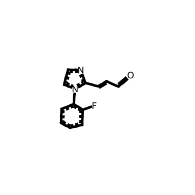 O=C/C=C/c1nccn1-c1ccccc1F